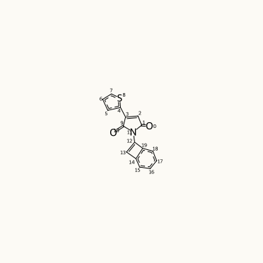 O=C1C=C(c2cccs2)C(=O)N1C1=Cc2ccccc21